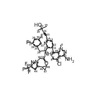 Cn1nc(N)c2c(Cl)ccc(-c3ccc(C#CC(C)(C)O)nc3C(Cc3cc(F)cc(F)c3)NC(=O)Cn3nc(C(F)(F)F)cc3C3CC3)c21